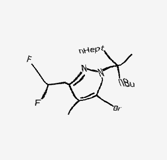 CCCCCCCC(C)(CCCC)n1nc(C(F)F)c(C)c1Br